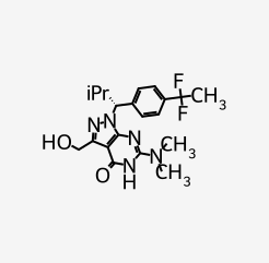 CC(C)[C@H](c1ccc(C(C)(F)F)cc1)n1nc(CO)c2c(=O)[nH]c(N(C)C)nc21